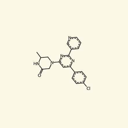 CC1CN(c2cc(-c3ccc(Cl)cc3)nc(-c3cccnc3)n2)CC(=O)N1